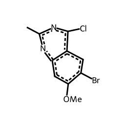 COc1cc2nc(C)nc(Cl)c2cc1Br